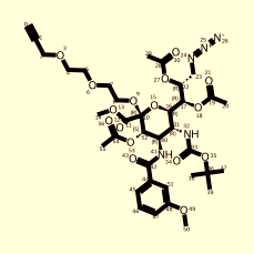 C#CCOCCOCCO[C@@]1(C(=O)OC)O[C@@H]([C@H](OC(C)=O)[C@@H](CN=[N+]=[N-])OC(C)=O)[C@H](NC(=O)OC(C)(C)C)[C@@H](NC(=O)c2cccc(OC)c2)[C@@H]1OC(C)=O